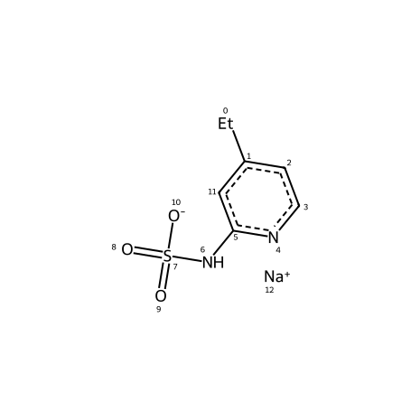 CCc1ccnc(NS(=O)(=O)[O-])c1.[Na+]